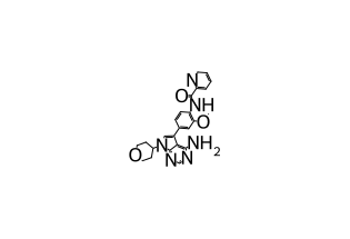 COc1cc(-c2cn(C3CCOCC3)c3ncnc(N)c23)ccc1NC(=O)c1ccccn1